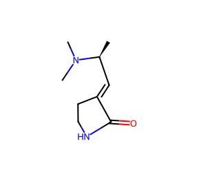 C[C@@H](/C=C1\CCNC1=O)N(C)C